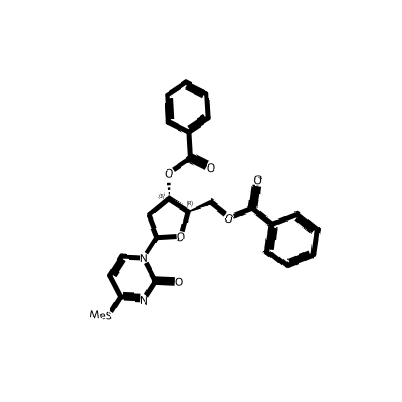 CSc1ccn(C2C[C@H](OC(=O)c3ccccc3)[C@@H](COC(=O)c3ccccc3)O2)c(=O)n1